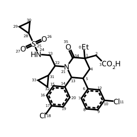 CCC1(CC(=O)O)CC(c2cccc(Cl)c2)C(c2ccc(Cl)cc2)N(C(CNS(=O)(=O)C2CC2)C2CC2)C1=O